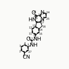 N#Cc1cccc(NC(=O)Nc2ccc3c(c2)Cc2c-3[nH]c(=O)c3nccn23)c1